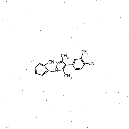 Cc1nn(Cc2ccccc2C#N)c(C)c1-c1ccc(C#N)c(C(F)(F)F)c1